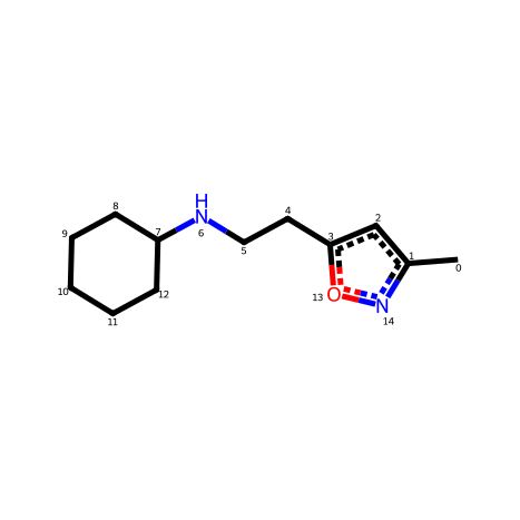 Cc1cc(CCNC2CCCCC2)on1